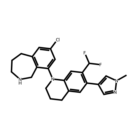 Cn1cc(-c2cc3c(cc2C(F)F)N(c2cc(Cl)cc4c2CNCCC4)CCC3)cn1